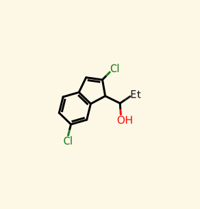 CCC(O)C1C(Cl)=Cc2ccc(Cl)cc21